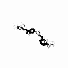 CNc1cccc(CCOc2ccc3c(CCC(=O)O)csc3c2)n1